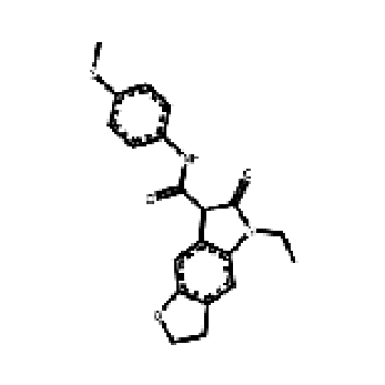 CCN1C(=O)C(C(=O)Nc2ccc(SC)cc2)c2cc3c(cc21)CCO3